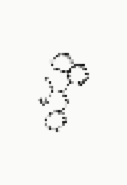 NC(=O)C(=Cc1ccccc1)c1cccc2ccccc12